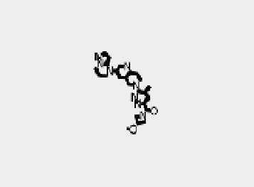 COC1CN(C(=O)c2cc(C)c(N3CCc4ncc(N5CCCn6nccc65)cc4C3)nn2)C1